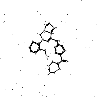 O=C(c1ccc(NC2=CN(c3ccccc3CO)C[N+]3C=CN=C23)nc1)N1CCOCC1